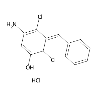 Cl.NC1=C(Cl)C(=Cc2ccccc2)C(Cl)C(O)=C1